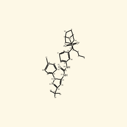 CCCCS(=O)(=O)N1C2CCC1CC(Cc1cccc(NC(=O)Nc3cc(C(C)(C)C)nn3-c3ccc(C)cc3)c1)C2